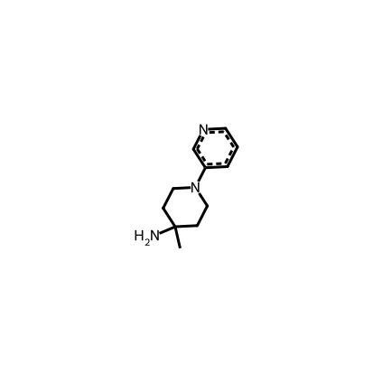 CC1(N)CCN(c2cccnc2)CC1